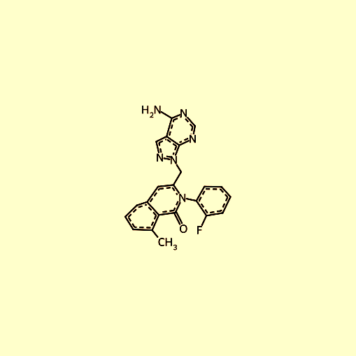 Cc1cccc2cc(Cn3ncc4c(N)ncnc43)n(-c3ccccc3F)c(=O)c12